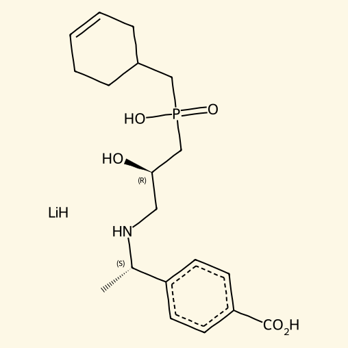 C[C@H](NC[C@@H](O)CP(=O)(O)CC1CC=CCC1)c1ccc(C(=O)O)cc1.[LiH]